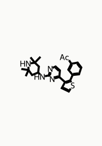 CC(=O)c1cccc(-c2sccc2-c2ccnc(NC3CC(C)(C)NC(C)(C)C3)n2)c1